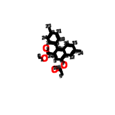 COC(=O)c1cc(OC(C)=O)c2cc(C)ccc2c1-c1ccc(C)cc1